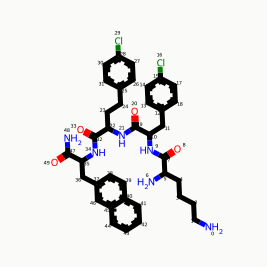 NCCCCC(N)C(=O)NC(Cc1ccc(Cl)cc1)C(=O)NC(CCc1ccc(Cl)cc1)C(=O)NC(Cc1ccc2ccccc2c1)C(N)=O